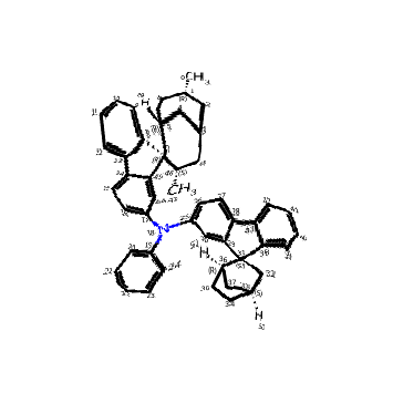 C[C@@H]1CC2C[C@@H](C1)[C@@]1(c3ccccc3-c3ccc(N(c4ccccc4)c4ccc5c(c4)[C@]4(C[C@H]6CC[C@@H]4C6)c4ccccc4-5)cc31)[C@@H](C)C2